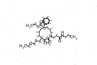 CCCNC(=O)CCN1CCC[C@](c2ccccc2)(C(C)CCC)CCCC(CCCOCC)C(C)C1=O